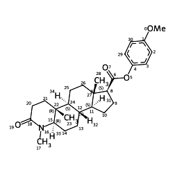 COc1ccc(OC(=O)[C@H]2CC[C@H]3[C@@H]4CC[C@H]5N(C)C(=O)CC[C@]5(C)[C@H]4CC[C@]23C)cc1